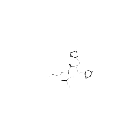 CCCC[C@H](NC(C)=O)C(=O)N(Cc1cccs1)Cc1cccs1